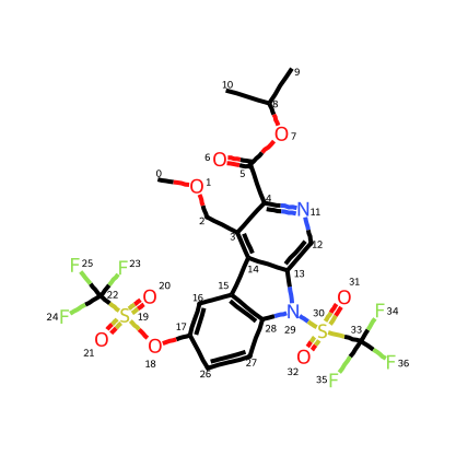 COCc1c(C(=O)OC(C)C)ncc2c1c1cc(OS(=O)(=O)C(F)(F)F)ccc1n2S(=O)(=O)C(F)(F)F